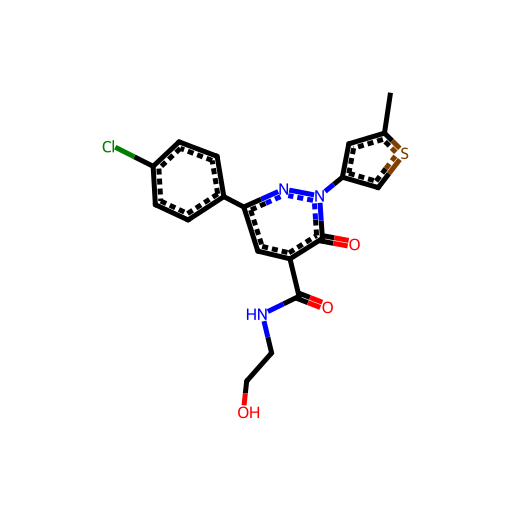 Cc1cc(-n2nc(-c3ccc(Cl)cc3)cc(C(=O)NCCO)c2=O)cs1